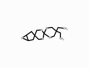 CCC1(CC)COC2(OC1)OCC1(CO2)CC2OC2C1